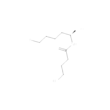 NCCCC[C@@H]([C]=O)NC(=O)CCCC=O